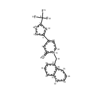 O=c1cc(-c2noc(C(F)(F)F)n2)ccn1Cc1cccc2ncccc12